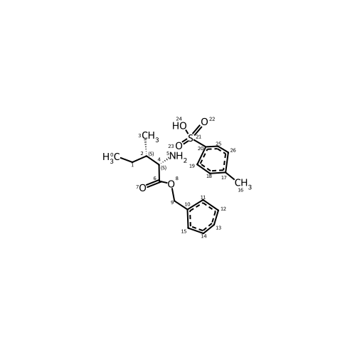 CC[C@H](C)[C@H](N)C(=O)OCc1ccccc1.Cc1ccc(S(=O)(=O)O)cc1